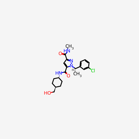 CNC(=O)c1cc(C(=O)N[C@H]2CC[C@H](CO)CC2)n([C@@H](C)c2cccc(Cl)c2)n1